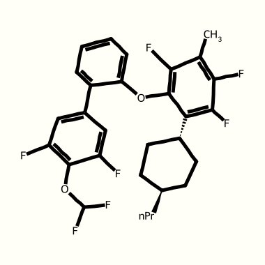 CCC[C@H]1CC[C@H](c2c(F)c(F)c(C)c(F)c2Oc2ccccc2-c2cc(F)c(OC(F)F)c(F)c2)CC1